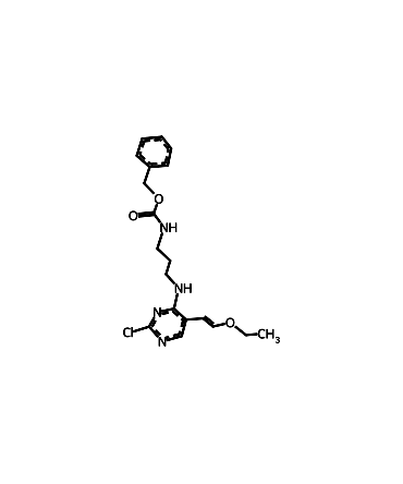 CCOC=Cc1cnc(Cl)nc1NCCCNC(=O)OCc1ccccc1